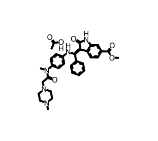 CC(=O)O.COC(=O)c1ccc2c(c1)NC(=O)/C2=C(\Nc1ccc(N(C)C(=O)CN2CCN(C)CC2)cc1)c1ccccc1